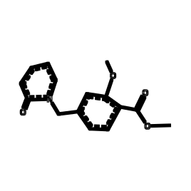 COC(=O)c1ccc(Cn2ccccc2=O)cc1OC